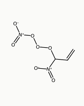 C=CC(OOO[N+](=O)[O-])[N+](=O)[O-]